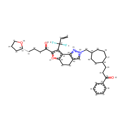 C=CC(F)(F)c1c(C(=O)CCC[C@@H]2CCCO2)oc2c1-c1nn(CC3CCCC(CCC(=O)c4ccccc4)CC3)cc1CC2